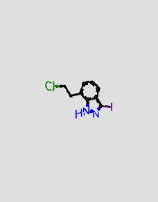 ClCCc1cccc2c(I)n[nH]c12